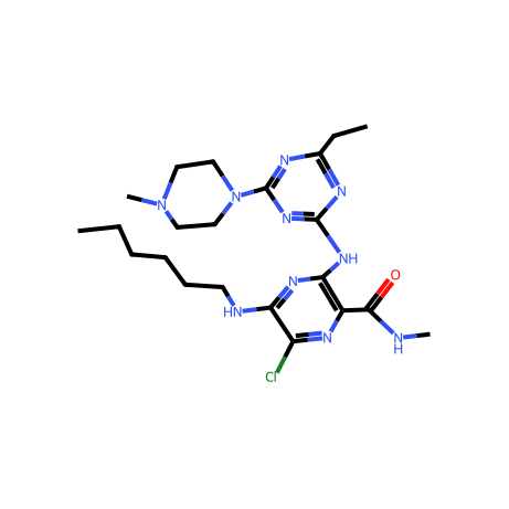 CCCCCCNc1nc(Nc2nc(CC)nc(N3CCN(C)CC3)n2)c(C(=O)NC)nc1Cl